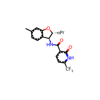 CCC[C@H]1Oc2cc(C)ccc2[C@@H]1NC(=O)c1ccc(C(F)(F)F)[nH]c1=O